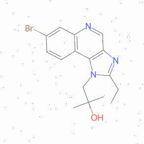 CCc1nc2cnc3cc(Br)ccc3c2n1CC(C)(C)O